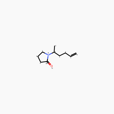 C=CCCC(C)N1CCCC1=O